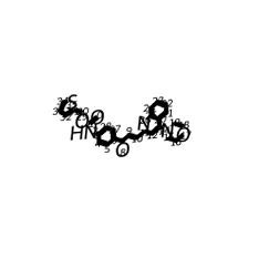 O=C(Nc1ccc(C(=O)C=Cc2cc(N3CCOCC3)c3ccccc3n2)cc1)OCc1cccs1